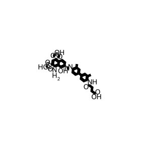 Cc1cc(-c2ccc(NC(=O)CCC(=O)O)c(C)c2)ccc1/N=N/c1ccc2c(S(=O)(=O)O)cc(S(=O)(=O)O)c(N)c2c1O